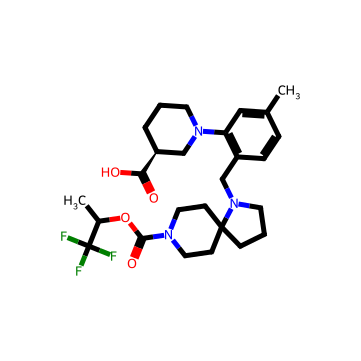 Cc1ccc(CN2CCCC23CCN(C(=O)OC(C)C(F)(F)F)CC3)c(N2CCC[C@H](C(=O)O)C2)c1